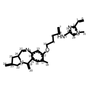 C=Cc1nc(NC(=C)CCCOc2cc3c(cc2C)C(=C)N2CC(=C)CC2C=N3)cn1C